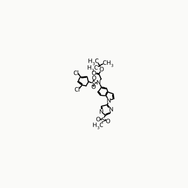 CC(C)(C)OC(=O)CN(c1ccc2c(ccn2-c2cnc(S(C)(=O)=O)cn2)c1)S(=O)(=O)C1C=C(Cl)C=C(Cl)C1